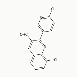 O=Cc1cc2cccc(Cl)c2nc1-c1ccc(Cl)nc1